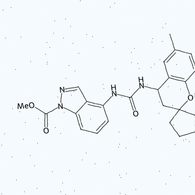 COC(=O)n1ncc2c(NC(=O)NC3CC4(CCCC4)Oc4ccc(C)cc43)cccc21